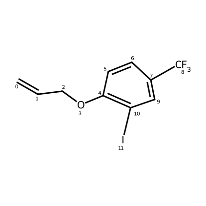 C=CCOc1ccc(C(F)(F)F)cc1I